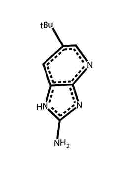 CC(C)(C)c1cnc2nc(N)[nH]c2c1